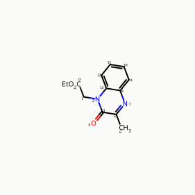 CCOC(=O)Cn1c(=O)c(C)nc2ccccc21